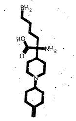 BCCCCC(N)(C(=O)O)C1CCN(C2CCC(=C)CC2)CC1